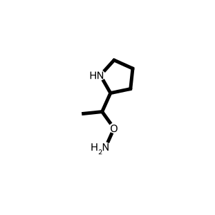 CC(ON)C1CCCN1